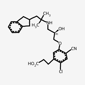 CC(C)(CC1Cc2ccccc2C1)NC[C@@H](O)COc1cc(CCC(=O)O)c(Cl)cc1C#N